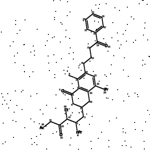 CCCC(CC1CC(=O)c2c(C)c(CCCC(=O)c3ccccc3)cc(C(C)C)c2C1)C(CC)C(=O)CC(C)=O